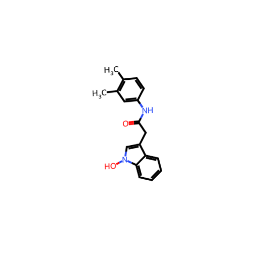 Cc1ccc(NC(=O)Cc2cn(O)c3ccccc23)cc1C